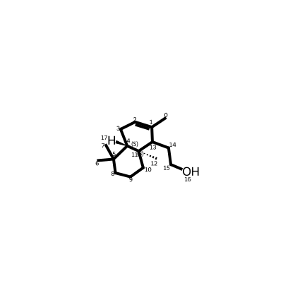 CC1=CC[C@H]2C(C)(C)CCC[C@]2(C)C1CCO